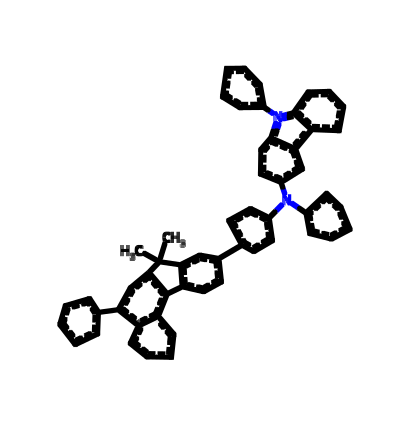 CC1(C)c2cc(-c3ccc(N(c4ccccc4)c4ccc5c(c4)c4ccccc4n5-c4ccccc4)cc3)ccc2-c2c1cc(-c1ccccc1)c1ccccc21